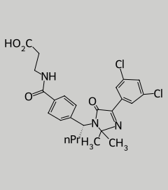 CCC[C@H](c1ccc(C(=O)NCCC(=O)O)cc1)N1C(=O)C(c2cc(Cl)cc(Cl)c2)=NC1(C)C